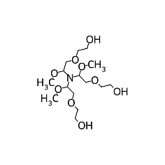 COC(COCCO)N(C(COCCO)OC)C(COCCO)OC